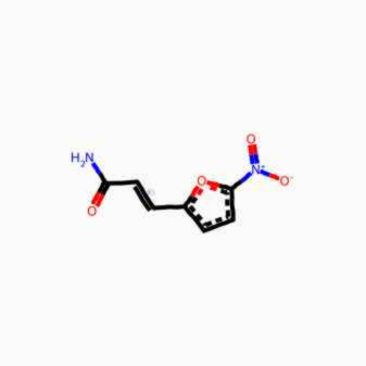 NC(=O)/C=C/c1ccc([N+](=O)[O-])o1